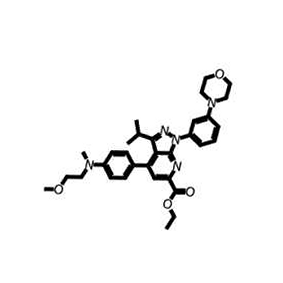 CCOC(=O)c1cc(-c2ccc(N(C)CCOC)cc2)c2c(C(C)C)nn(-c3cccc(N4CCOCC4)c3)c2n1